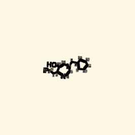 CC(C)CC1=NC=CN(Cc2ccccc2)C=C1O